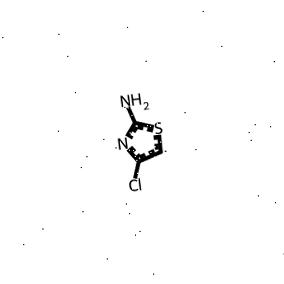 Nc1nc(Cl)[c]s1